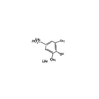 O=C(O)c1cc(O)c(O)c(O)c1.[La].[LiH]